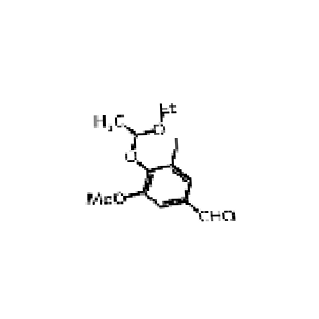 CCOC(C)Oc1c(I)cc(C=O)cc1OC